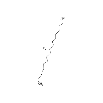 CCCCCCCCCCCCCCCC[CH2][Al+2].[H-].[H-]